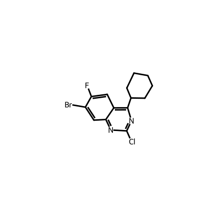 Fc1cc2c(C3CCCCC3)nc(Cl)nc2cc1Br